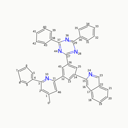 Cc1cc(-c2ccccc2)nc(-c2cc(-c3cc4ccccc4cn3)cc(-c3nc(-c4ccccc4)nc(-c4ccccc4)n3)c2)c1